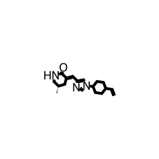 C=CC1CCC(n2cnc(/C=C3\C[C@H](C)CNC3=O)c2)CC1